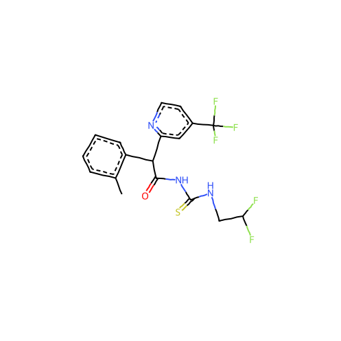 Cc1ccccc1C(C(=O)NC(=S)NCC(F)F)c1cc(C(F)(F)F)ccn1